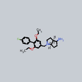 CCOc1cc(CN2CC[C@H]3C(N)CC[C@H]32)cc(OCC)c1-c1ccc(F)cc1